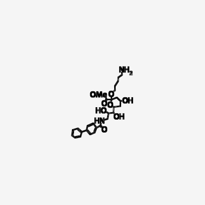 COC(=O)C1(OCCCCCN)CC(O)CC(C(O)C(O)CNC(=O)c2ccc(-c3ccccc3)cc2)O1